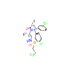 C=CC[C@@]1(C)C[C@H](c2cccc(Cl)c2)C(c2ccc(Cl)cc2)N([C@@H](CC)CNS(=O)(=O)CCCCl)C1=O